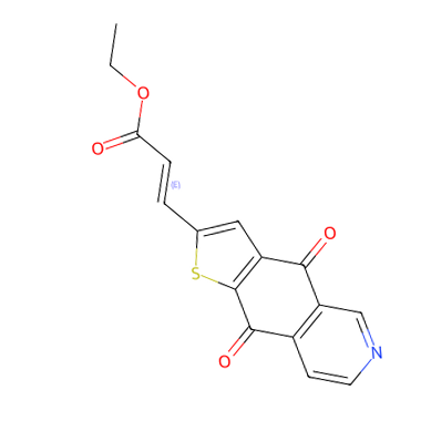 CCOC(=O)/C=C/c1cc2c(s1)C(=O)c1ccncc1C2=O